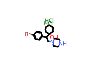 Cl.Cl.OC1(C(CN2CCNCC2)c2ccc(Br)cc2)CCCCC1